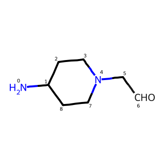 NC1CCN(CC=O)CC1